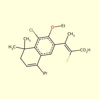 CCOc1c(C(C)=C(F)C(=O)O)cc2c(c1Cl)C(C)(C)CC=C2C(C)C